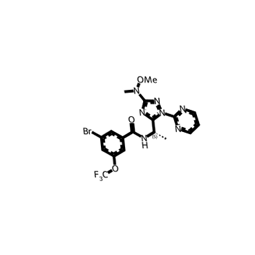 CON(C)c1nc([C@H](C)NC(=O)c2cc(Br)cc(OC(F)(F)F)c2)n(-c2ncccn2)n1